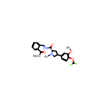 COC(=O)c1ccccc1CNC(=O)[C@H]1CC(c2ccc(OC(F)F)c(OC(C)C)c2)CN1C(C)=O